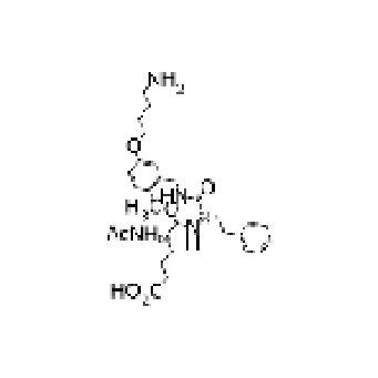 CC(=O)N[C@@H](CCCC(=O)O)C(=O)N[C@@H](CCc1ccccc1)C(=O)NCc1cc(OCCCCN)ccc1C